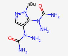 CCCCn1ncc(N(N)C(N)=O)c1N(N)C(N)=O